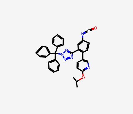 CC(C)Oc1ccc(-c2ccc(N=C=O)cc2-c2nnn(C(c3ccccc3)(c3ccccc3)c3ccccc3)n2)cn1